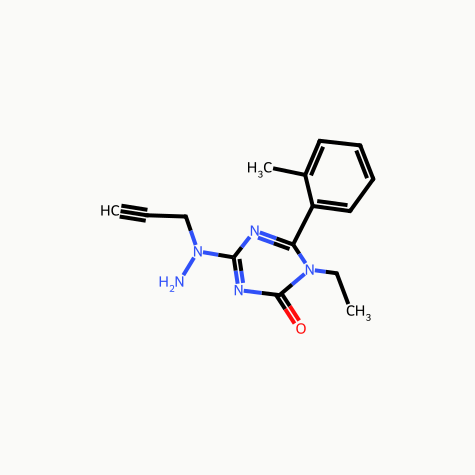 C#CCN(N)c1nc(-c2ccccc2C)n(CC)c(=O)n1